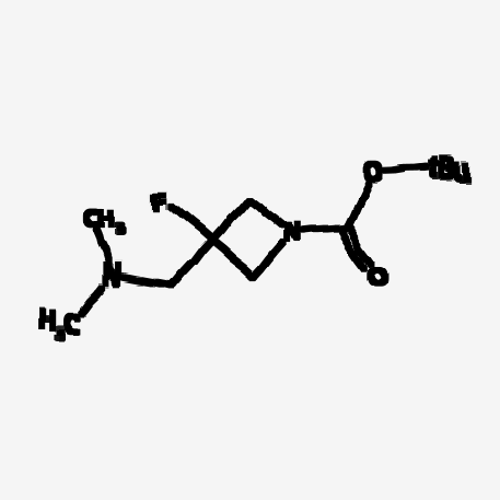 CN(C)CC1(F)CN(C(=O)OC(C)(C)C)C1